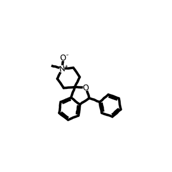 C[N+]1([O-])CCC2(CC1)OC(c1ccccc1)c1ccccc12